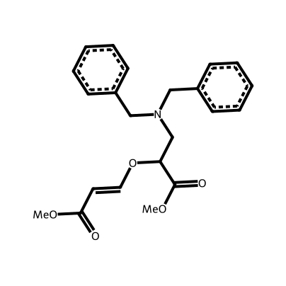 COC(=O)C=COC(CN(Cc1ccccc1)Cc1ccccc1)C(=O)OC